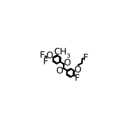 Cc1cc(C(=O)C(=O)c2ccc(F)c(OCCCF)c2)ccc1OC(F)F